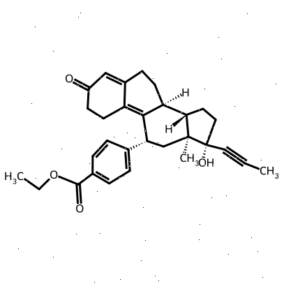 CC#C[C@]1(O)CC[C@H]2[C@@H]3CCC4=CC(=O)CCC4=C3[C@@H](c3ccc(C(=O)OCC)cc3)C[C@@]21C